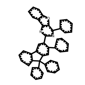 c1ccc(-c2cc3c(cc2-c2nc(-c4ccccc4)c4oc5ccccc5c4n2)-c2ccccc2C3(c2ccccc2)c2ccccc2)cc1